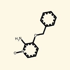 Nc1c(OCc2ccccc2)ccc[n+]1[O-]